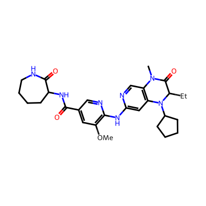 CCC1C(=O)N(C)c2cnc(Nc3ncc(C(=O)NC4CCCCNC4=O)cc3OC)cc2N1C1CCCC1